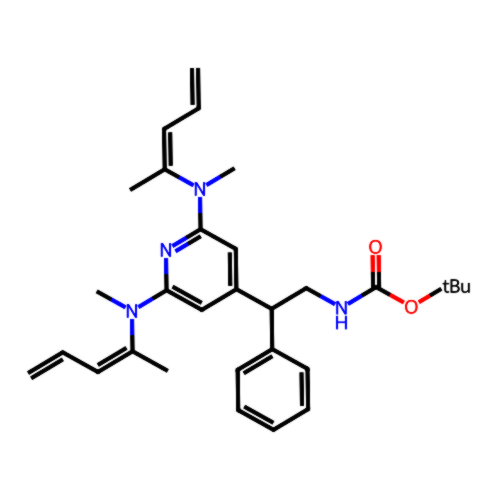 C=C/C=C(/C)N(C)c1cc(C(CNC(=O)OC(C)(C)C)c2ccccc2)cc(N(C)/C(C)=C\C=C)n1